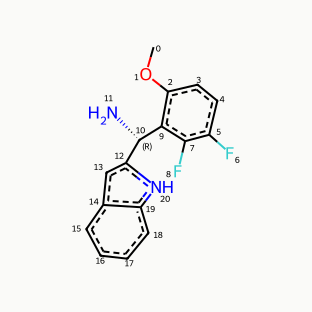 COc1ccc(F)c(F)c1[C@@H](N)c1cc2ccccc2[nH]1